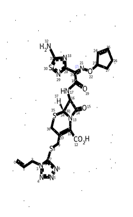 C=CCn1nnnc1SCC1=C(C(=O)O)N2C(=O)C(NC(=O)/C(=N\OC3C=CCC3)c3nsc(N)n3)[C@H]2SC1